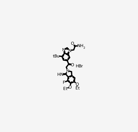 Br.CCOc1cc2c(c(F)c1OCC)C(=N)N(CC(=O)c1cc(C(C)(C)C)c3ncn(CC(N)=O)c3c1)C2